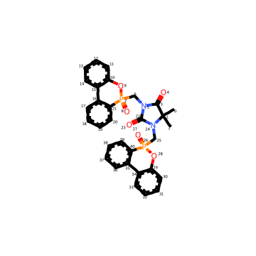 CC1(C)C(=O)N(CP2(=O)Oc3ccccc3-c3ccccc32)C(=O)N1CP1(=O)Oc2ccccc2-c2ccccc21